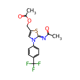 CC(=O)N=c1sc(COC(C)=O)cn1-c1ccc(C(F)(F)F)cc1